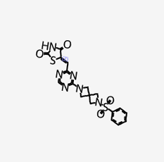 O=C1NC(=O)/C(=C/c2ncnc(N3CC4(C3)CN(S(=O)(=O)c3ccccc3)C4)n2)S1